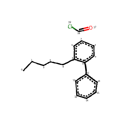 CCCCCc1ccccc1-c1ccccc1.O=CCl